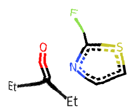 CCC(=O)CC.Fc1nccs1